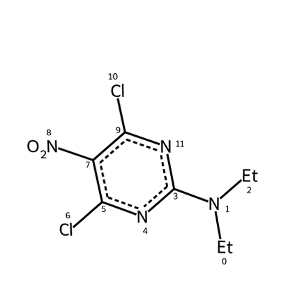 CCN(CC)c1nc(Cl)c([N+](=O)[O-])c(Cl)n1